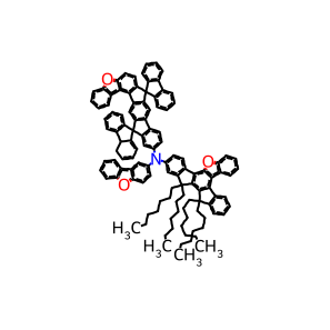 CCCCCCCC1(CCCCCCC)c2cc(N(c3ccc4c(c3)C3(C5=CC=CCC5c5ccccc53)c3cc5c(cc3-4)C3(c4ccccc4-c4ccccc43)c3ccc4oc6ccccc6c4c3-5)c3ccc4oc5ccccc5c4c3)ccc2-c2c1c1c(c3c2oc2ccccc23)-c2ccccc2C1(CCCCCCC)CCCCCCC